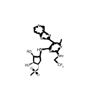 Cc1nc(NCC(F)(F)F)nc(NC2C[C@H](CS(C)(=O)=O)[C@@H](O)[C@H]2O)c1-c1nc2cnccc2s1